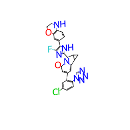 O=c1cc(-c2cc(Cl)ccc2-n2cnnn2)cc2n1C(c1nc(F)c(-c3ccc4c(c3)OCCN4)[nH]1)C1CC21